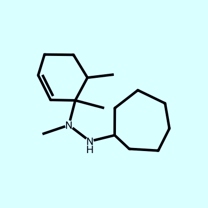 CC1CCC=CC1(C)N(C)NC1CCCCCC1